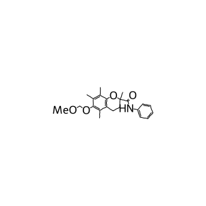 COCOc1c(C)c(C)c2c(c1C)CCC(C)(C(=O)Nc1ccccc1)O2